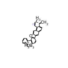 C=Cc1ccc2cc3c(cc2c1/C=C\C)oc1c(-c2cccc[n+]2C)c(C)ccc13